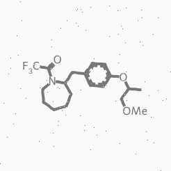 COCC(C)Oc1ccc(CC2CCCCCN2C(=O)C(F)(F)F)cc1